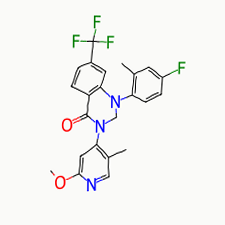 COc1cc(N2CN(c3ccc(F)cc3C)c3cc(C(F)(F)F)ccc3C2=O)c(C)cn1